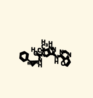 CC1(C)c2[nH]nc(Nc3ncnc4ccoc34)c2CN1C(=O)N[C@@H]1C[C@H]1c1ccccc1